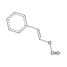 O=[C]O/C=C/c1ccccc1